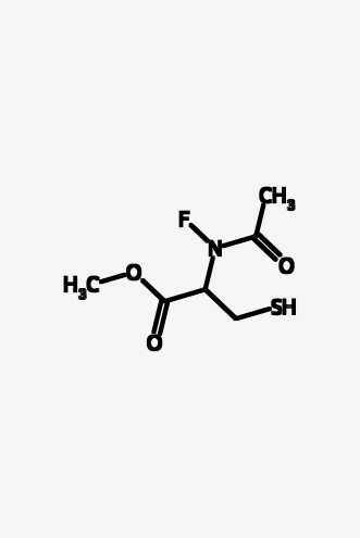 COC(=O)C(CS)N(F)C(C)=O